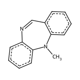 CN1c2ccccc2C=Nc2ccccc21